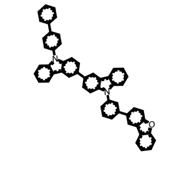 c1ccc(-c2ccc(-n3c4ccccc4c4cc(-c5ccc6c(c5)c5ccccc5n6-c5cccc(-c6ccc7oc8ccccc8c7c6)c5)ccc43)cc2)cc1